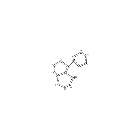 c1ccc(-c2cccc3ccnnc23)cc1